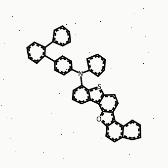 c1ccc(-c2ccccc2-c2ccc(N(c3ccccc3)c3cccc4c3sc3ccc5c(oc6ccc7ccccc7c65)c34)cc2)cc1